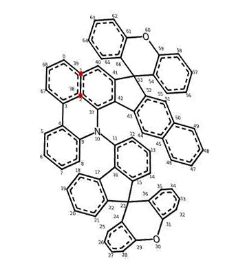 c1ccc(-c2ccccc2N(c2cccc3c2-c2ccccc2C32c3ccccc3Oc3ccccc32)c2cccc3c2-c2cc4ccccc4cc2C32c3ccccc3Oc3ccccc32)cc1